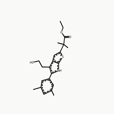 CCOC(=O)C(C)(C)c1cc2c(CCO)c(-c3cc(C)cc(C)c3)[nH]c2s1